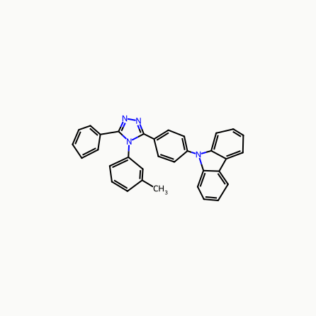 Cc1cccc(-n2c(-c3ccccc3)nnc2-c2ccc(-n3c4ccccc4c4ccccc43)cc2)c1